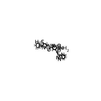 Cc1cc(NC(=O)c2cc(C#Cc3nnc4cccnn34)c(S(N)(=O)=O)cn2)cnc1N1CCCCC1